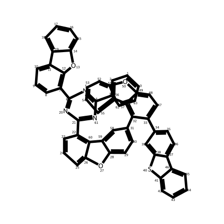 c1ccc(-c2nc(-c3cccc4c3oc3ccccc34)nc(-c3cccc4oc5ccc(-c6c(-c7ccc8c(c7)sc7ccccc78)ccc7oc8ccccc8c67)cc5c34)n2)cc1